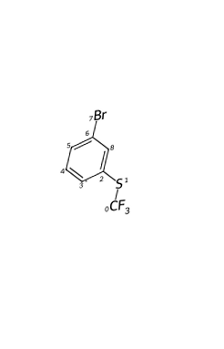 FC(F)(F)Sc1[c]ccc(Br)c1